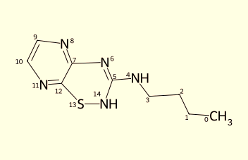 CCCCNC1=Nc2nccnc2SN1